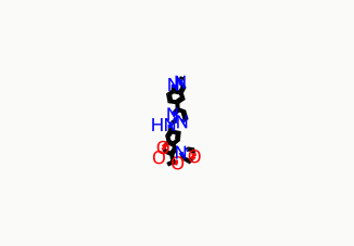 CC(=O)c1c(N2CCOCC2)c2ccc(Nc3nccc(-c4ccc5nn(C)cc5c4)n3)cc2oc1=O